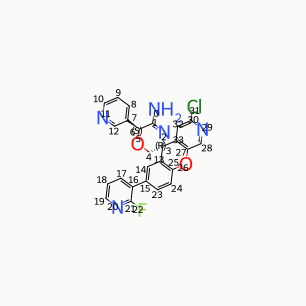 NC1=N[C@]2(CO[C@H]1c1cccnc1)c1cc(-c3cccnc3F)ccc1Oc1cnc(Cl)cc12